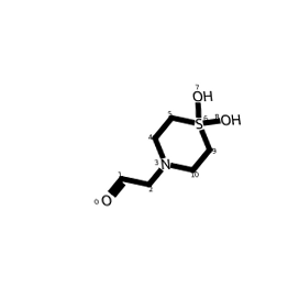 O=CCN1CCS(O)(O)CC1